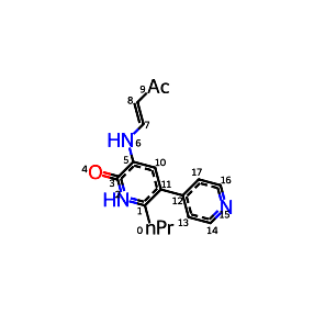 CCCc1[nH]c(=O)c(N/C=C/C(C)=O)cc1-c1ccncc1